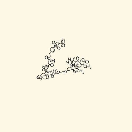 C=C(NCC(=O)NCOCCOc1ccc(=C)\c(=C(CC)/C2=C(C)/C(C)=C/C3=C(COC(=O)C3C)C(=O)C(C)C(C)C2)c1)C(Cc1ccccc1)NC(=O)CNC(=O)CNC(=O)CCc1ccc(N2C(=O)CC(C(CC)CC)C2=O)cc1